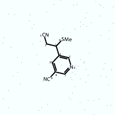 CSC(CC#N)c1cncc(C#N)c1